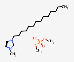 CCCCCCCCCCCCCCN1C=CN(C)C1.COP(=O)(O)OC